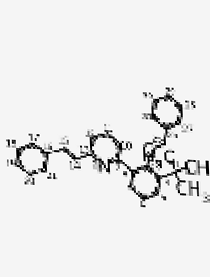 CC(C)(C)c1cccc(-c2cccc(C=Cc3ccccc3)n2)c1OCc1ccccc1